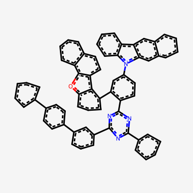 c1ccc(-c2ccc(-c3cccc(-c4nc(-c5ccccc5)nc(-c5ccc(-n6c7ccccc7c7cc8ccccc8cc76)cc5-c5cccc6oc7c8ccccc8ccc7c56)n4)c3)cc2)cc1